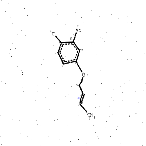 C/C=C/COc1ccc(F)c(C(C)=O)c1